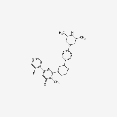 CC1CN(c2ccc(C3CN(c4nc(-c5ccncc5F)cc(=O)n4C)CCO3)cc2)CC(C)N1